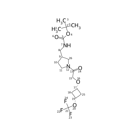 CC(C)(C)OC(=O)NCC1CCN(C(=O)CO[C@H]2C[C@@H](OC(F)(F)F)C2)C1